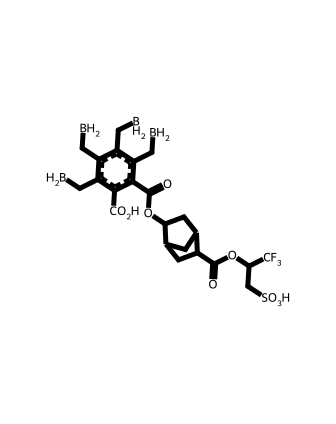 BCc1c(CB)c(CB)c(C(=O)OC2CC3CC2CC3C(=O)OC(CS(=O)(=O)O)C(F)(F)F)c(C(=O)O)c1CB